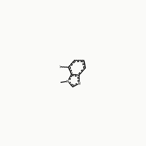 Cn1cnc2cccc(I)c21